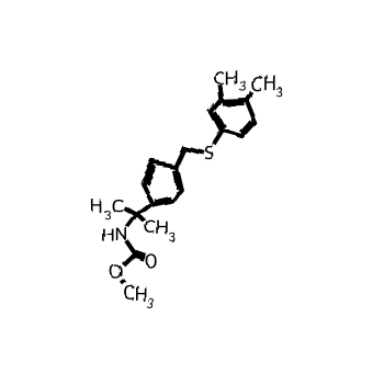 COC(=O)NC(C)(C)c1ccc(CSc2ccc(C)c(C)c2)cc1